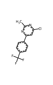 Cc1nc(Cl)cc(-c2ccc(C(F)(F)F)cc2)n1